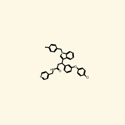 Cc1ccc(Cn2cc(C(CC(=O)NCc3ccncc3)c3cccc(Oc4ccc(Cl)cc4)c3)c3ccccc32)cc1